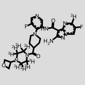 [2H]c1nc2c(C(=O)Nc3cncc(F)c3N3CCC(C(=O)N4C([2H])([2H])C([2H])([2H])N(C5COC5)C([2H])([2H])C4([2H])[2H])CC3)c(N)nn2cc1F